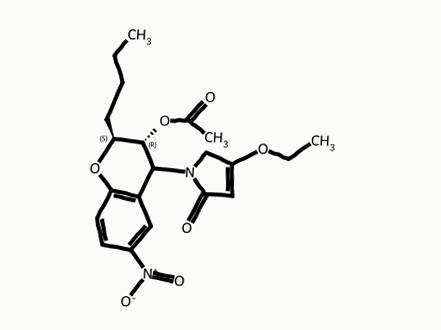 CCCC[C@@H]1Oc2ccc([N+](=O)[O-])cc2C(N2CC(OCC)=CC2=O)[C@H]1OC(C)=O